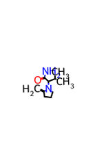 C=C1CCCN1C(C(N)=O)C(C)C